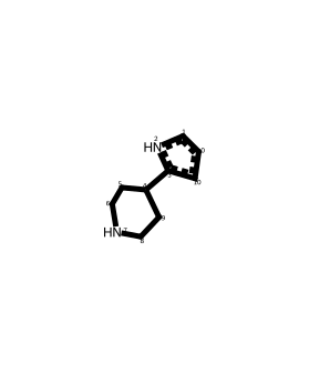 c1c[nH]c(C2CCNCC2)c1